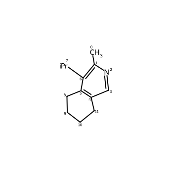 Cc1ncc2c(c1C(C)C)CCCC2